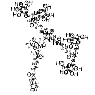 CC(C)(C)OC(=O)[C@H](CCC(=O)N[C@@H](CCC(=O)NCCCCCC(=O)N(CCO[C@H]1O[C@H](CO)[C@@H](O)[C@H](O)[C@@H]1O)CCO[C@H]1O[C@H](CO)[C@@H](O)[C@H](O)[C@@H]1O)C(=O)NCCCCCC(=O)N(CCO[C@H]1O[C@H](CO)[C@@H](O)[C@H](O)[C@@H]1O)CCO[C@H]1O[C@H](CO)[C@@H](O)[C@H](O)[C@@H]1O)NC(=O)CNC(=O)CCCCCCC(=O)OCc1ccccc1